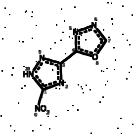 O=[N+]([O-])c1nc(-c2nnco2)n[nH]1